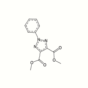 COC(=O)c1nn(-c2ccccc2)nc1C(=O)OC